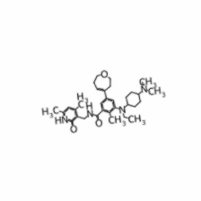 CCN(c1cc(C2=CCCOCC2)cc(C(=O)NCc2c(C)cc(C)[nH]c2=O)c1C)C1CCC(N(C)C)CC1